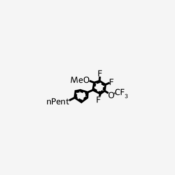 CCCCCc1ccc(-c2c(F)c(OC(F)(F)F)c(F)c(F)c2OC)cc1